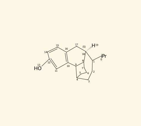 CC(C)C1CCC2CCCC3C2c2cc(O)ccc2C[C@@H]13